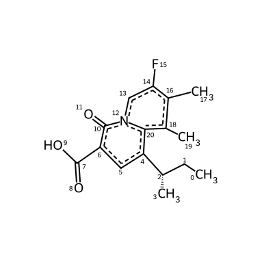 CC[C@H](C)c1cc(C(=O)O)c(=O)n2cc(F)c(C)c(C)c12